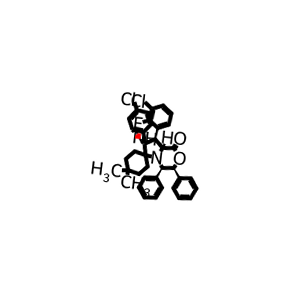 CC1(C)CCC2(CC1)N1[C@H](c3ccccc3)[C@H](c3ccccc3)OC(=O)[C@H]1[C@H](c1cccc(Cl)c1F)[C@@]21CNc2cc(Cl)ccc21